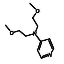 COCCN(CCOC)c1ccncc1